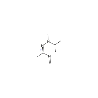 C=N/C(C)=N\N(C)C(C)C